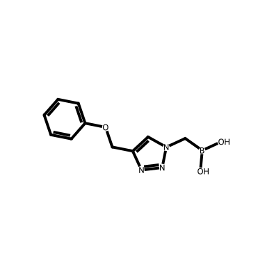 OB(O)Cn1cc(COc2ccccc2)nn1